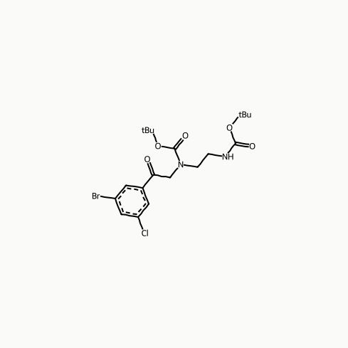 CC(C)(C)OC(=O)NCCN(CC(=O)c1cc(Cl)cc(Br)c1)C(=O)OC(C)(C)C